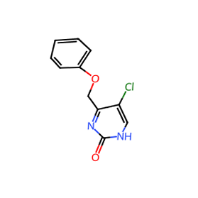 O=c1nc(COc2ccccc2)c(Cl)c[nH]1